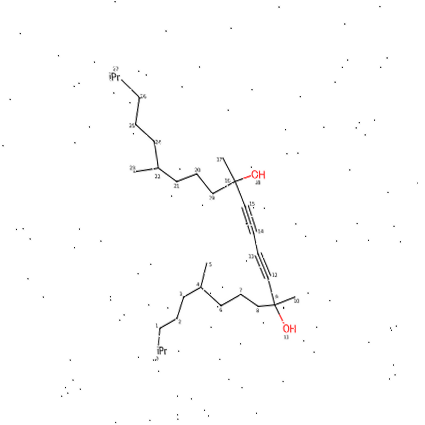 CC(C)CCCC(C)CCCC(C)(O)C#CC#CC(C)(O)CCCC(C)CCCC(C)C